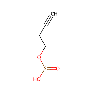 C#CCCOS(=O)O